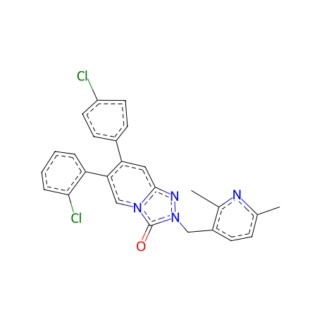 Cc1ccc(Cn2nc3cc(-c4ccc(Cl)cc4)c(-c4ccccc4Cl)cn3c2=O)c(C)n1